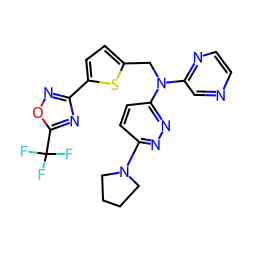 FC(F)(F)c1nc(-c2ccc(CN(c3cnccn3)c3ccc(N4CCCC4)nn3)s2)no1